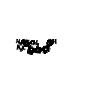 Cc1nn(C)c(C)c1NC[S+]([O-])c1ccc(-c2ccnc(N3CCNCC3)c2)cc1